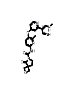 CN/C=C(\C=N)c1cc(Oc2ccc(NC(=O)N3CCC4(COC4)C3=O)nc2C)ccn1